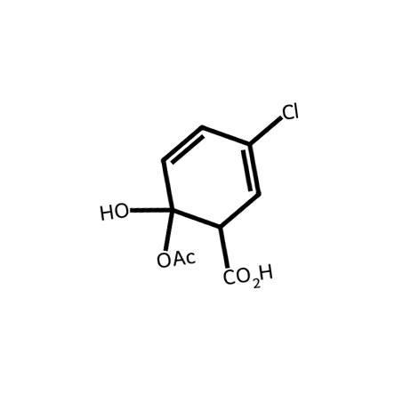 CC(=O)OC1(O)C=CC(Cl)=CC1C(=O)O